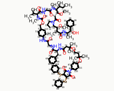 CCC(C)C([C@@H](CC(=O)N1CCC[C@H]1[C@H](OC)[C@@H](C)C(=O)N[C@H](C)[C@@H](O)c1ccccc1)OC)N(C)C(=O)CNC(=O)C(C(C)C)N(C)C(=O)OCc1ccc(NC(=O)CNC(=O)[C@H](Cc2ccccc2)NC(=O)CC(C)(C)OCCC(C)(C)Oc2ccc(N3C(=O)C(Sc4ccccc4)=C(Sc4ccccc4)C3=O)cc2)cc1